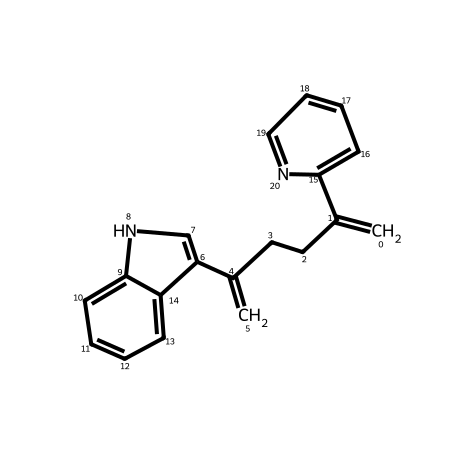 C=C(CCC(=C)c1c[nH]c2ccccc12)c1ccccn1